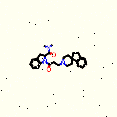 CN(C)C(=O)C1Cc2ccccc2N1C(=O)CCN1CCC2(CCc3ccccc32)CC1